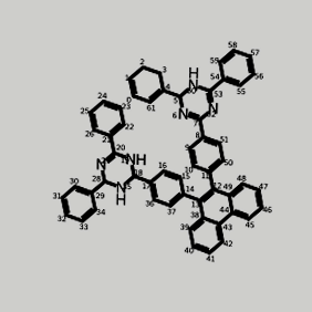 C1=CCCC(C2N=C(c3ccc(-c4c(-c5ccc(C6NC(c7ccccc7)=NC(c7ccccc7)N6)cc5)c5ccccc5c5ccccc45)cc3)N=C(c3ccccc3)N2)=C1